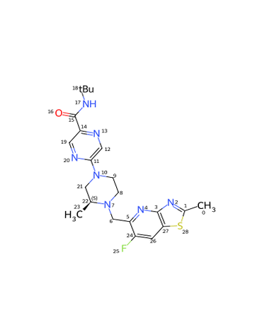 Cc1nc2nc(CN3CCN(c4cnc(C(=O)NC(C)(C)C)cn4)C[C@@H]3C)c(F)cc2s1